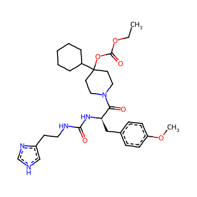 CCOC(=O)OC1(C2CCCCC2)CCN(C(=O)[C@@H](Cc2ccc(OC)cc2)NC(=O)NCCc2c[nH]cn2)CC1